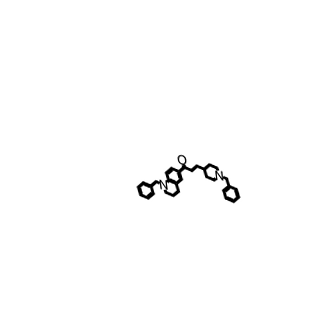 O=C(CCC1CCN(Cc2ccccc2)CC1)c1ccc2c(c1)CCCN2Cc1ccccc1